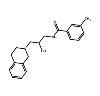 Cc1cccc(C(=O)NCC(O)CN2CCc3ccccc3C2)c1